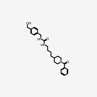 O=C(NCCCCC1CCN(C(=O)c2ccccc2)CC1)NCc1ccc(CO)cc1